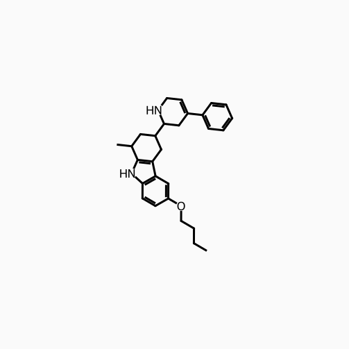 CCCCOc1ccc2[nH]c3c(c2c1)CC(C1CC(c2ccccc2)=CCN1)CC3C